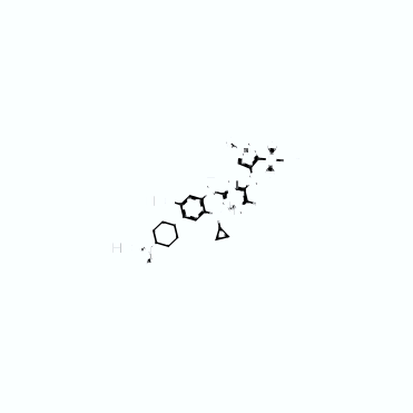 Cc1cc(Nc2nnc(Cl)c(Nc3cn(C)nc3S(=O)(=O)C(C)C)n2)c(OC2CC2)cc1[C@H]1CC[C@H](N(C)C)CC1